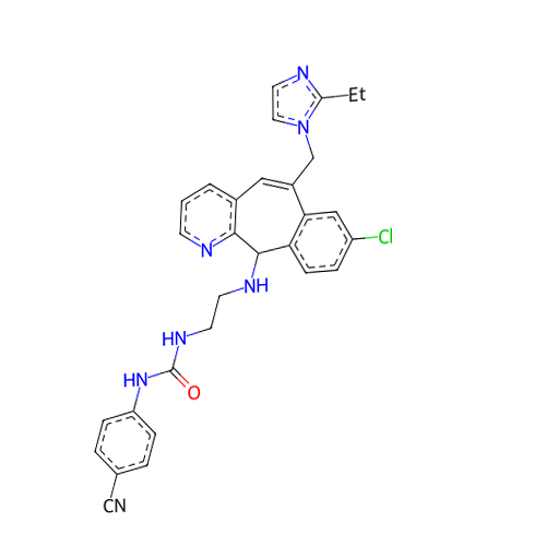 CCc1nccn1CC1=Cc2cccnc2C(NCCNC(=O)Nc2ccc(C#N)cc2)c2ccc(Cl)cc21